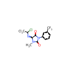 CN1C(=O)N(c2cccc(C(F)(F)F)c2)C(=O)C1=NC(Cl)C(Cl)(Cl)Cl